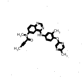 CC#CC(=O)N(C)c1ccc2ncnc(Nc3ccc(Oc4cnc(C)cn4)c(C)c3)c2c1